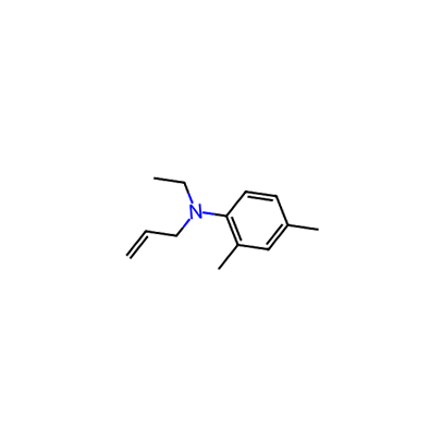 C=CCN(CC)c1ccc(C)cc1C